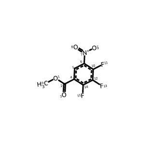 COC(=O)c1cc([N+](=O)[O-])c(F)c(F)c1F